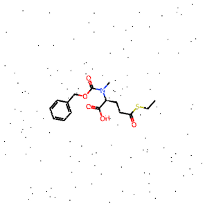 CCSC(=O)CC[C@@H](C(=O)O)N(C)C(=O)OCc1ccccc1